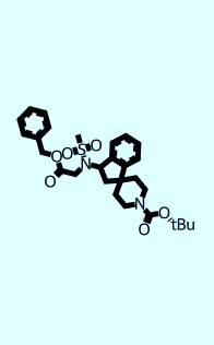 CC(C)(C)OC(=O)N1CCC2(CC1)CC(N(CC(=O)OCc1ccccc1)S(C)(=O)=O)c1ccccc12